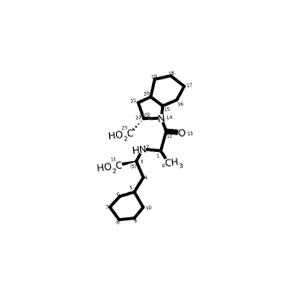 CC(N[C@@H](CC1CCCCC1)C(=O)O)C(=O)N1C2CCCCC2C[C@H]1C(=O)O